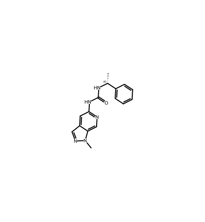 C[C@@H](NC(=O)Nc1cc2cnn(C)c2cn1)c1ccccc1